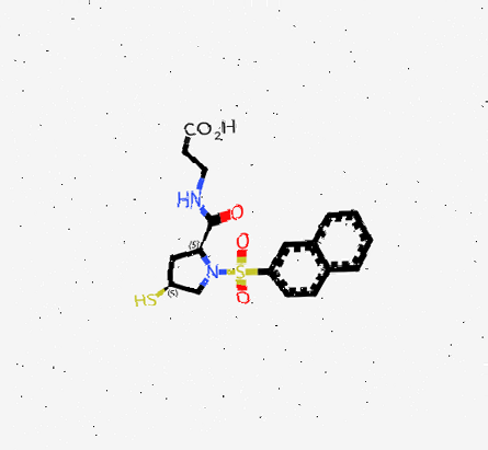 O=C(O)CCNC(=O)[C@@H]1C[C@H](S)CN1S(=O)(=O)c1ccc2ccccc2c1